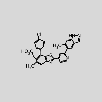 Cc1cc2[nH]ncc2cc1-c1cc(-c2nc3cc(C)c(CC(=O)O)c(-c4ccc(Cl)cc4)c3s2)ccn1